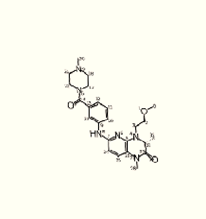 COCCN1c2nc(Nc3cccc(C(=O)N4CCN(C)CC4)c3)ccc2N(C)C(=O)[C@H]1C